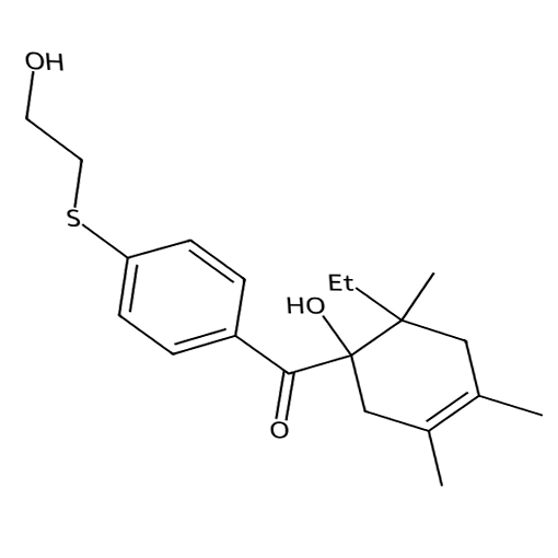 CCC1(C)CC(C)=C(C)CC1(O)C(=O)c1ccc(SCCO)cc1